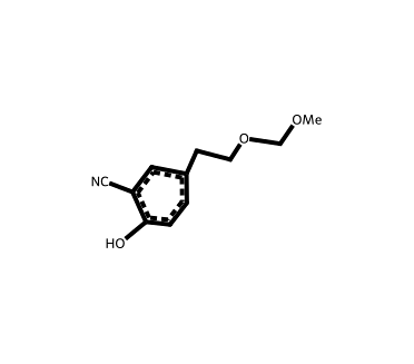 COCOCCc1ccc(O)c(C#N)c1